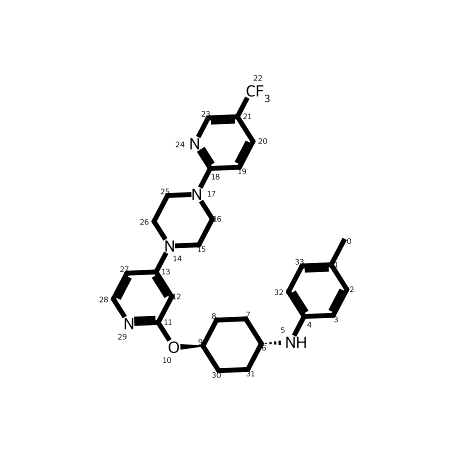 Cc1ccc(N[C@H]2CC[C@H](Oc3cc(N4CCN(c5ccc(C(F)(F)F)cn5)CC4)ccn3)CC2)cc1